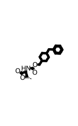 C[C@@H]1OC(=O)[C@@H]1NC(=O)OCC1CCC(Cc2ccccc2)CC1